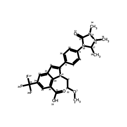 COCCn1c(-c2ccc(N3C(=O)N(C)N(C)C3C)cc2)cc2cc(C(F)(F)F)cc(C(=O)O)c21